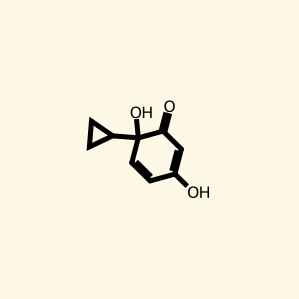 O=C1C=C(O)C=CC1(O)C1CC1